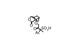 CC(=O)C(C)(C(=O)COC1C2CC3C(=O)OC1C3C2)S(=O)(=O)O